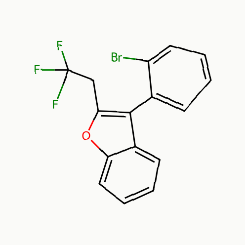 FC(F)(F)Cc1oc2ccccc2c1-c1ccccc1Br